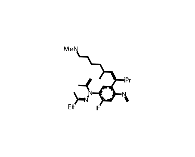 C=Nc1cc(F)c(N(/N=C(\C)CC)C(=C)C)cc1/C(=C\C(C)CCCCNC)C(C)C